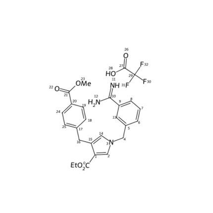 CCOC(=O)c1cn(Cc2cccc(C(=N)N)c2)cc1Cc1ccc(C(=O)OC)cc1.O=C(O)C(F)(F)F